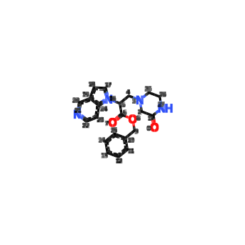 O=C1CN(CC(C(=O)OCc2ccccc2)n2ccc3cnccc32)CCN1